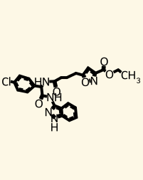 CCOC(=O)c1cc(CCCC(=O)NC(C(=O)Nc2n[nH]c3ccccc23)c2ccc(Cl)cc2)on1